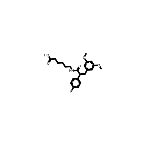 COc1cc(/C=C(\C(=O)NCCCCCC(=O)O)c2ccc(F)cc2)cc(OC)c1